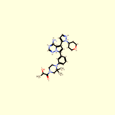 CC(O)C(=O)N1CCN(c2cccc(-c3cc(-c4ccnn4C4CCOCC4)c4c(N)ncnn34)c2)C(C)(C)C1